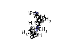 CC(/C=C/[C@H]1O[C@@](C)(CO)C[C@@]2(CO2)[C@@H]1O)=C\C[C@@H]1O[C@H](C)[C@H](NC(=O)/C=C\C(C)C)C[C@@H]1C